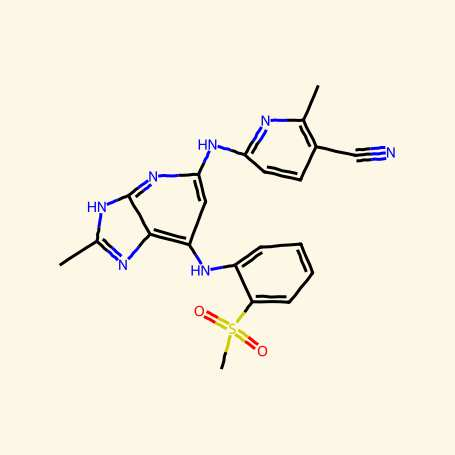 Cc1nc2c(Nc3ccccc3S(C)(=O)=O)cc(Nc3ccc(C#N)c(C)n3)nc2[nH]1